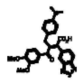 COc1ccc(C(=O)C(Cc2ccc(N(C)C)cc2)=C(C(=O)O)c2ccc3nsnc3c2)cc1OC